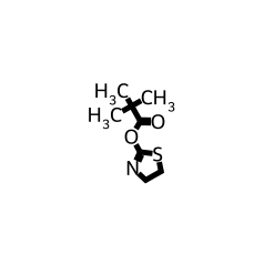 CC(C)(C)C(=O)OC1=NCCS1